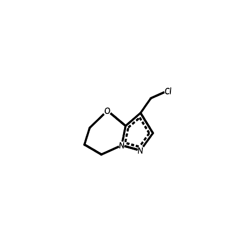 ClCc1cnn2c1OCCC2